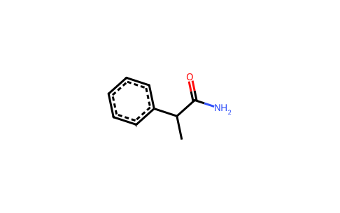 CC(C(N)=O)c1[c]cccc1